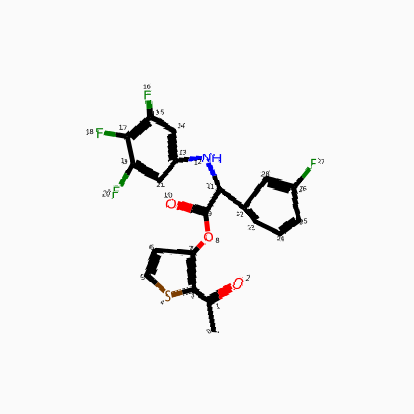 [CH2]C(=O)c1sccc1OC(=O)C(Nc1cc(F)c(F)c(F)c1)c1cccc(F)c1